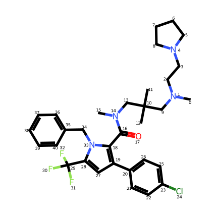 CN(CCN1CCCC1)CC(C)(C)CN(C)C(=O)c1c(-c2ccc(Cl)cc2)cc(C(F)(F)F)n1Cc1ccccc1